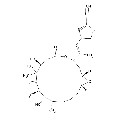 C#Cc1nc(C=C(C)[C@@H]2C[C@@H]3O[C@@H]3CCC[C@H](C)[C@H](O)[C@@H](C)C(=O)C(C)(C)[C@@H](O)CC(=O)O2)cs1